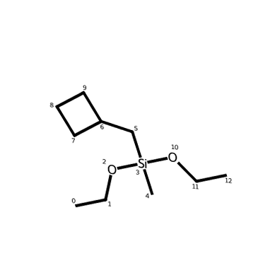 CCO[Si](C)(CC1CCC1)OCC